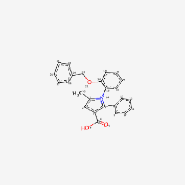 Cc1cc(C(=O)O)c(-c2ccccc2)n1-c1ccccc1OCc1ccccc1